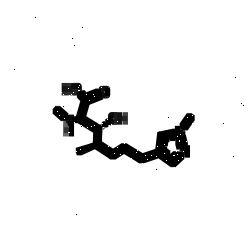 CN[C@H](C(=O)O)[C@H](O)[C@H](C)CCCc1cnn(C)c1